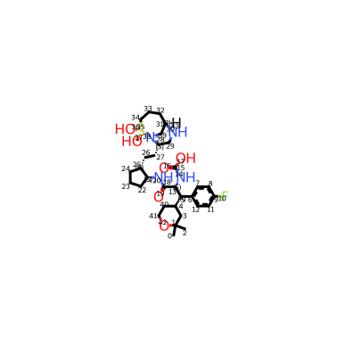 CC1(C)CC([C@H](c2ccc(F)cc2)[C@H](NC(=O)O)C(=O)N[C@H]2CCC[C@@H]2CC[C@H]2CN[C@@H]3CCCS(O)(O)N2C3)CCO1